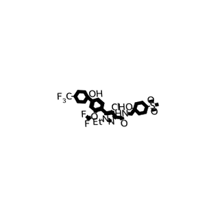 CCn1nc(C(=O)NC[C@]2(O)CC[C@@H](S(C)(=O)=O)CC2)c(Cl)c1-c1ccc([C@]2(O)CC[C@H](C(F)(F)F)CC2)cc1OC(F)F